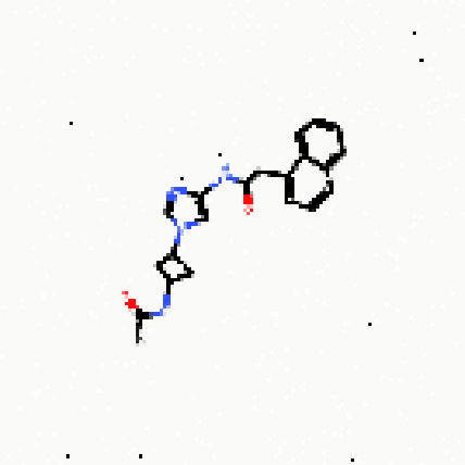 CC(C)C(=O)NC1CC(n2cnc(NC(=O)Cc3cccc4ccccc34)c2)C1